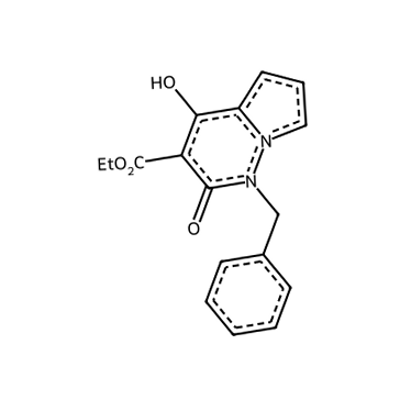 CCOC(=O)c1c(O)c2cccn2n(Cc2ccccc2)c1=O